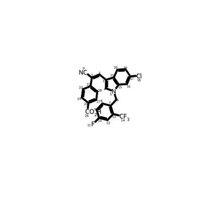 N#CC(=Cc1cn(Cc2ccc(F)cc2C(F)(F)F)c2cc(Cl)ccc12)c1ccc(C(=O)O)cc1